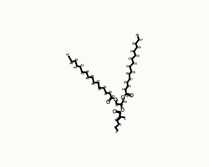 CCC/C=C(\C)C(=O)OC(COC(=O)CCCCCCCCCCCCCCC)COC(=O)CCCCCCCCCCCCCCC